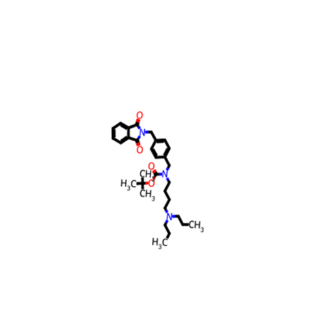 CCCN(CCC)CCCCN(Cc1ccc(CN2C(=O)c3ccccc3C2=O)cc1)C(=O)OC(C)(C)C